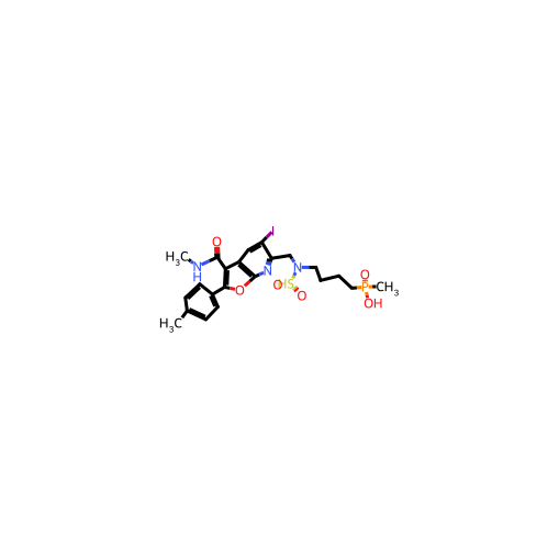 CNC(=O)c1c(-c2ccc(C)cc2)oc2nc(CN(CCCCP(C)(=O)O)[SH](=O)=O)c(I)cc12